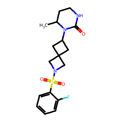 CC1CCNC(=O)N1C1CC2(C1)CN(S(=O)(=O)c1ccccc1F)C2